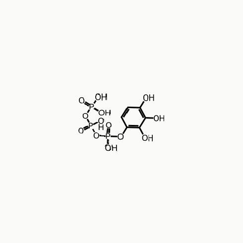 O=P(O)(O)OP(=O)(O)OP(=O)(O)Oc1ccc(O)c(O)c1O